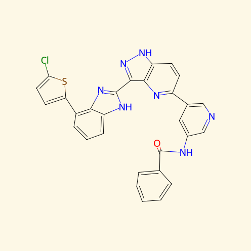 O=C(Nc1cncc(-c2ccc3[nH]nc(-c4nc5c(-c6ccc(Cl)s6)cccc5[nH]4)c3n2)c1)c1ccccc1